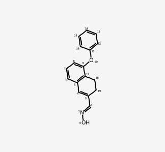 ON=CC1=Cc2cccc(Oc3ccccc3)c2CC1